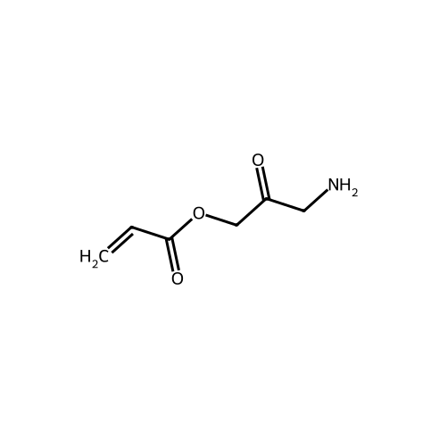 C=CC(=O)OCC(=O)CN